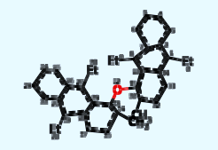 CCc1c2ccccc2c(CC)c2c(Oc3c(C)ccc4c(CC)c5ccccc5c(CC)c34)c(C)ccc12